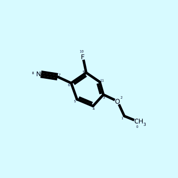 CCOc1ccc(C#N)c(F)c1